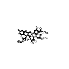 COC(=O)c1cc(N(CC(=O)CC(C)(C)C)CC(=O)OC(C)(C)C)c(OCCOc2cc(C)ccc2N(CC(=O)OC(C)(C)C)CC(=O)OC(C)(C)C)cc1Br